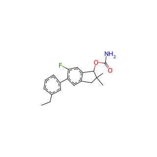 CCc1cccc(-c2cc3c(cc2F)C(OC(N)=O)C(C)(C)C3)c1